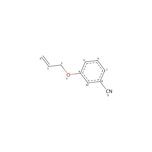 C=CCOc1cc[c]c(C#N)c1